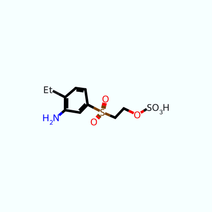 CCc1ccc(S(=O)(=O)CCOS(=O)(=O)O)cc1N